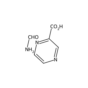 NC=O.O=C(O)c1cnccn1